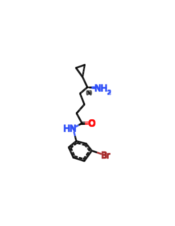 N[C@@H](CCCC(=O)Nc1cccc(Br)c1)C1CC1